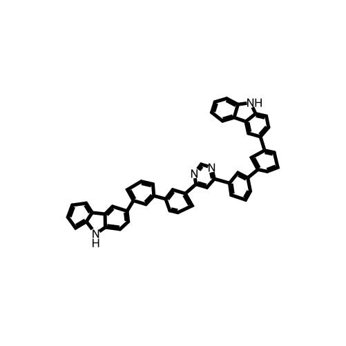 c1cc(-c2cccc(-c3cc(-c4cccc(-c5cccc(-c6ccc7[nH]c8ccccc8c7c6)c5)c4)ncn3)c2)cc(-c2ccc3[nH]c4ccccc4c3c2)c1